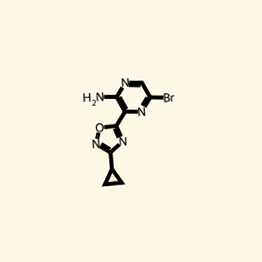 Nc1ncc(Br)nc1-c1nc(C2CC2)no1